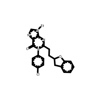 CCn1cnc2c(=O)n(-c3ccc(Cl)cc3)c(CCC3Cc4ccccc4O3)nc21